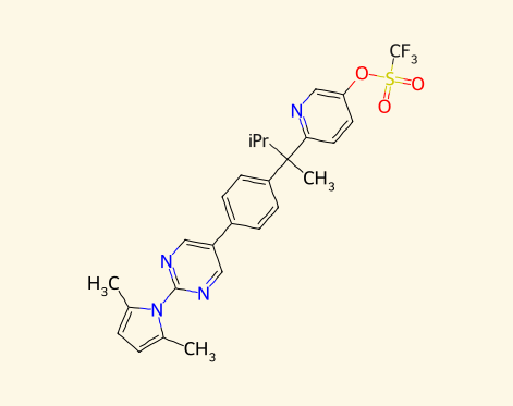 Cc1ccc(C)n1-c1ncc(-c2ccc(C(C)(c3ccc(OS(=O)(=O)C(F)(F)F)cn3)C(C)C)cc2)cn1